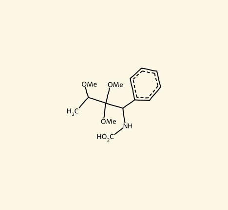 COC(C)C(OC)(OC)C(NC(=O)O)c1ccccc1